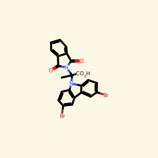 CC(C(=O)O)(N1C(=O)c2ccccc2C1=O)n1c2ccc(Br)cc2c2cc(Br)ccc21